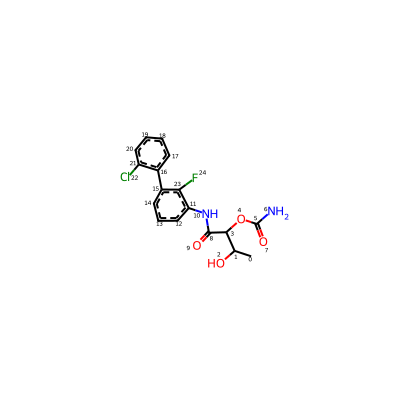 CC(O)C(OC(N)=O)C(=O)Nc1cccc(-c2ccccc2Cl)c1F